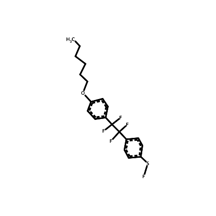 CCCCCCOc1ccc(C(F)(F)C(F)(F)c2ccc(SF)cc2)cc1